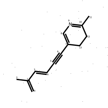 C=C(C)/C=C/C#CC1=CN=C(C)CC1